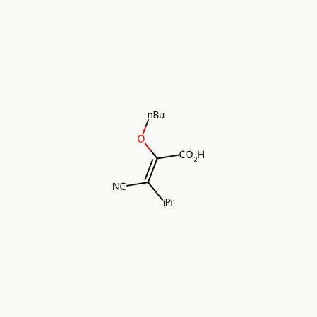 CCCCO/C(C(=O)O)=C(\C#N)C(C)C